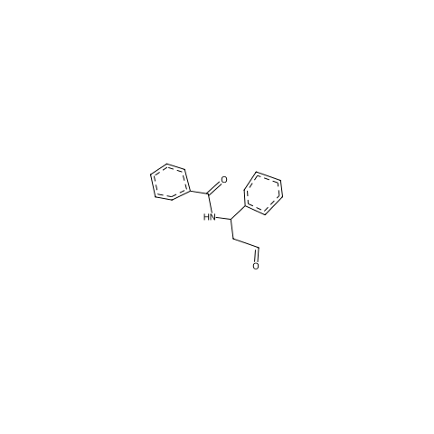 O=CCC(NC(=O)c1ccccc1)c1ccccc1